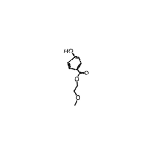 COCCOC(=O)c1ccc(O)cc1